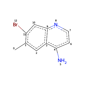 Cc1cc2c(N)ccnc2cc1Br